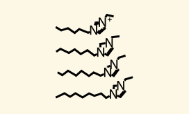 CCCCCCCCCN1C=CN(CC)C1.CCCCCCCCN1C=CN(CC)C1.CCCCCCCN1C=CN(CC)C1.CCCCCCn1cc[n+](CC)c1